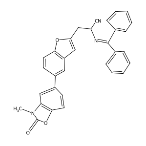 Cn1c(=O)oc2ccc(-c3ccc4oc(CC(C#N)N=C(c5ccccc5)c5ccccc5)cc4c3)cc21